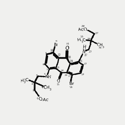 CC(=O)OCC(C)(C)CNc1ccc(Br)c2c1C(=O)c1c(Br)ccc(NCC(C)(C)COC(C)=O)c1C2=O